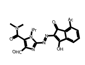 CC(=O)c1cccc2c1C(=O)C(N=Nc1nc(C=O)c(C(=O)N(C)C)n1C(C)C)=C2O